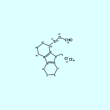 CC1C2=C(CCCC2)C2=C1[CH]([Ti+2][O]C=O)CCC2.[Cl-].[Cl-]